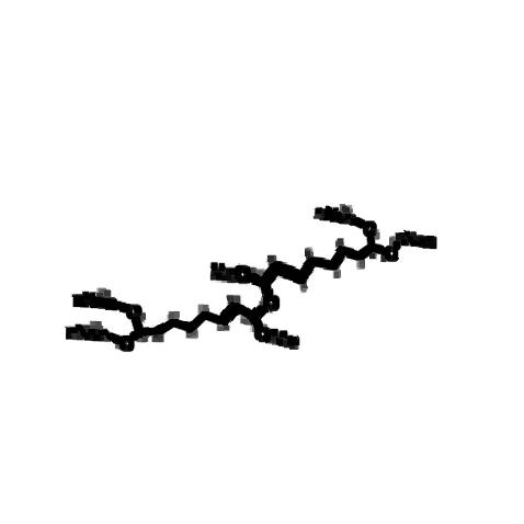 CCCCCCCCCOC(CCCCC=CC(OC)OC(C=CCCCCC(OCCCCCCCCC)OCCCCCCCCC)OC)OCCCCCCCCC